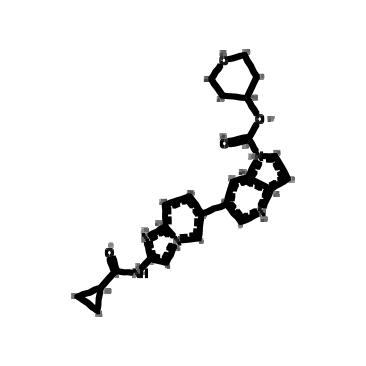 O=C(Nc1cn2cc(-c3cnc4ccn(C(=O)OC5CCOCC5)c4c3)ccc2n1)C1CC1